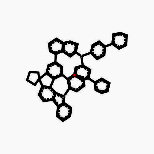 c1ccc(-c2ccc(N(c3cccc(-c4ccccc4)c3)c3ccc4cccc(-c5cc6c7c(c5)C5(CCCC5)c5ccc8c9ccccc9n(c8c5-7)-c5ccccc5-6)c4c3)cc2)cc1